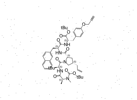 C#CCOc1ccc(C[C@H](NC(=O)[C@H](Cc2ccc3ccccc3c2)NC(=O)[C@@H]2C[C@H](CC=C)CN2C(=O)[C@@H](NC(=O)[C@H](C)N(C)C(=O)OC(C)(C)C)C(C)(C)C)C(=O)OC(C)(C)C)cc1